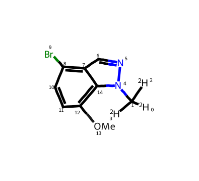 [2H]C([2H])([2H])n1ncc2c(Br)ccc(OC)c21